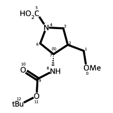 COCC1CN(C(=O)O)C[C@H]1NC(=O)OC(C)(C)C